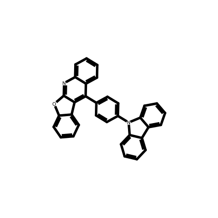 c1ccc2c(-c3ccc(-n4c5ccccc5c5ccccc54)cc3)c3c(nc2c1)oc1ccccc13